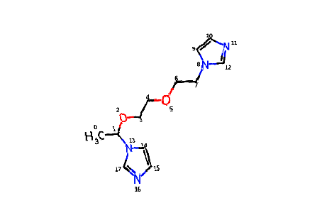 CC(OCCOCCn1ccnc1)n1ccnc1